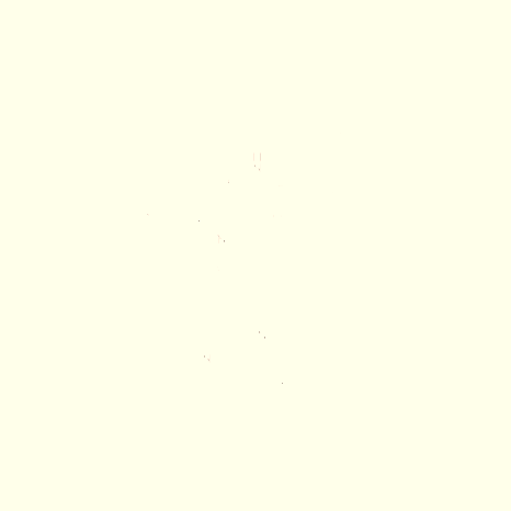 O=C(NC12CC3CC(C1)CC(NC(=O)c1cccc(F)c1)(C3)C2)Oc1cncc(C(F)(F)F)n1